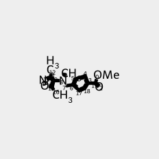 COC(=O)c1ccc(CN(C)c2c(C)noc2C)cc1